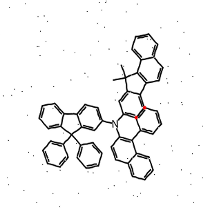 CC1(C)c2cc(N(c3ccc4c(c3)C(c3ccccc3)(c3ccccc3)c3ccccc3-4)c3ccc4ccccc4c3-c3ccccc3)ccc2-c2ccc3ccccc3c21